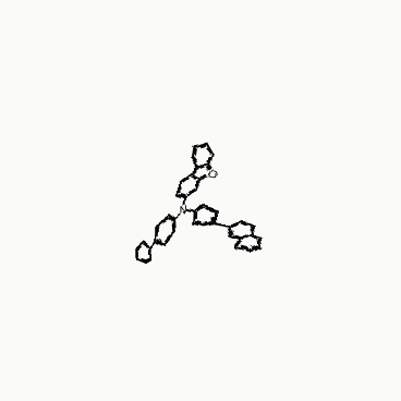 c1ccc(-c2ccc(N(c3ccc(-c4ccc5ccccc5c4)cc3)c3ccc4c(c3)oc3ccccc34)cc2)cc1